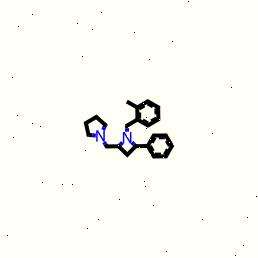 Cc1ccccc1CN1C(CN2CCCC2)CC1c1ccccc1